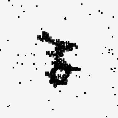 C=C/C(=C\C=C(/C)NC(=O)O[C@H]1CC(=O)N(C)c2cc(cc(OC)c2Cl)C/C(C)=C/C=C/[C@@H](OC)[C@@]2(O)C[C@H](OC(=O)N2)[C@@H](C)[C@@H]2O[C@@]12C)NC(=O)[C@H](CCCNC(N)=O)NC(=O)[C@@H](NCCCCCOC(=C)CBr)C(C)C